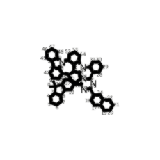 CC1(C)c2ccccc2-c2cc(-c3nc(-c4ccc5ccccc5c4)nc(-c4ccccc4-n4c5cccc6c7cccc8c9ccccc9n(c9cccc4c9c65)c78)n3)ccc21